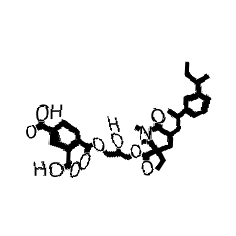 CCC(C)c1cccc(C(C)CC(CC(C)(CC)C(=O)OCC(O)COC(=O)c2ccc(C(=O)O)cc2C(=O)O)C(=O)N(C)C)c1